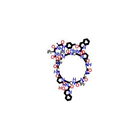 CC(C)[C@H](NC(=O)OC(C)(C)C)C(=O)N[C@@H](C)C(=O)Nc1ccc(COc2cc3ccccc3nc2C(=O)N[C@@H]2CNC(=O)[C@H](C(C)C)N(C)C(=O)CN(C)C(=O)CNC(=O)[C@@H]3CCCCN3C(=O)[C@H](NC(=O)c3nc4ccccc4cc3O)CNC(=O)[C@H](C(C)C)N(C)C(=O)CN(C)C(=O)CNC(=O)[C@@H]3CCCCN3C2=O)cc1